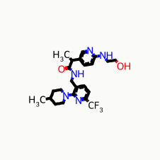 CC1CCN(c2nc(C(F)(F)F)ccc2CNC(=O)C(C)c2ccc(NCCO)nc2)CC1